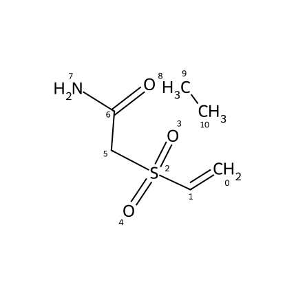 C=CS(=O)(=O)CC(N)=O.CC